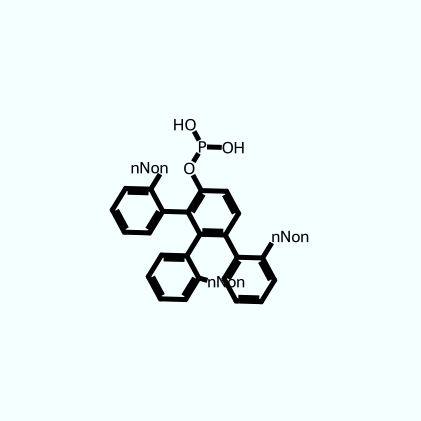 CCCCCCCCCc1ccccc1-c1ccc(OP(O)O)c(-c2ccccc2CCCCCCCCC)c1-c1ccccc1CCCCCCCCC